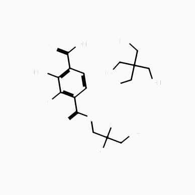 CCC(CO)(CO)CO.Cc1c(C(=O)O)ccc(C(=O)OCC(C)(C)CO)c1C